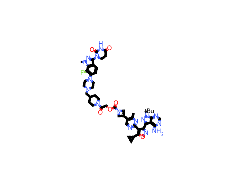 Cc1nc(-c2c(-c3nn(C(C)(C)C)c4ncnc(N)c34)noc2C2CC2)ncc1C1CN(C(=O)OCC(=O)N2CCC(CN3CCN(c4ccc5c(N6CCC(=O)NC6=O)nn(C)c5c4F)CC3)CC2)C1